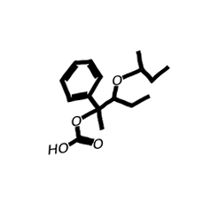 CCC(C)OC(CC)C(C)(OC(=O)O)c1ccccc1